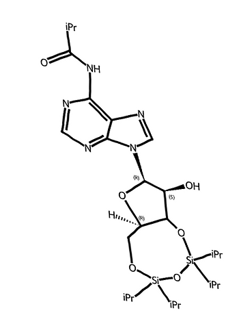 CC(C)C(=O)Nc1ncnc2c1ncn2[C@@H]1O[C@@H]2CO[Si](C(C)C)(C(C)C)O[Si](C(C)C)(C(C)C)OC2[C@@H]1O